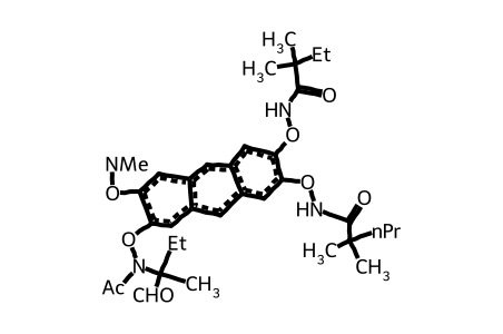 CCCC(C)(C)C(=O)NOc1cc2cc3cc(ON(C(C)=O)C(C)(C=O)CC)c(ONC)cc3cc2cc1ONC(=O)C(C)(C)CC